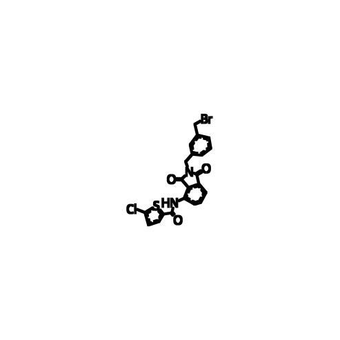 O=C(Nc1cccc2c1C(=O)N(Cc1cccc(CBr)c1)C2=O)c1ccc(Cl)s1